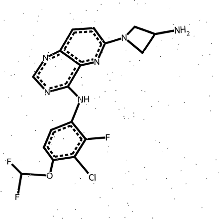 NC1CN(c2ccc3ncnc(Nc4ccc(OC(F)F)c(Cl)c4F)c3n2)C1